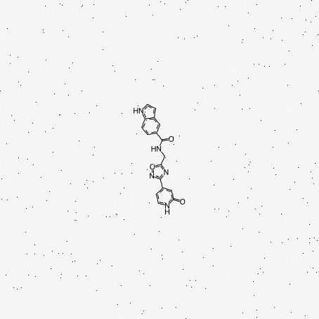 O=C(NCc1nc(-c2cc[nH]c(=O)c2)no1)c1ccc2[nH]ccc2c1